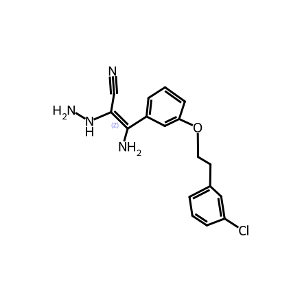 N#C/C(NN)=C(/N)c1cccc(OCCc2cccc(Cl)c2)c1